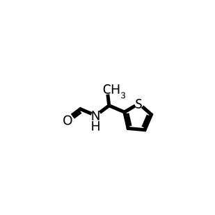 CC(NC=O)c1cccs1